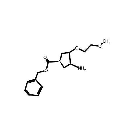 COCCOC1CN(C(=O)OCc2ccccc2)CC1N